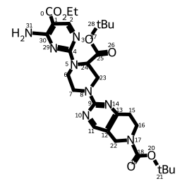 CCOC(=O)c1cnc(N2CCN(c3ncc4c(n3)CCN(C(=O)OC(C)(C)C)C4)CC2C(=O)OC(C)(C)C)nc1N